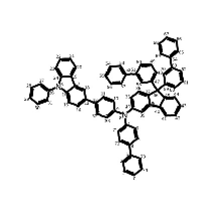 c1ccc(-c2ccc(N(c3ccc(-c4ccc5c(c4)c4ccccc4n5-c4ccccc4)cc3)c3ccc4c(c3)-c3ccccc3C4(c3cccc(-c4ccccc4)c3)c3cccc(-c4ccccc4)c3)cc2)cc1